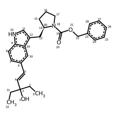 CCC(O)(C=Cc1ccc2[nH]cc(C[C@H]3CCCN3C(=O)OCc3ccccc3)c2c1)CC